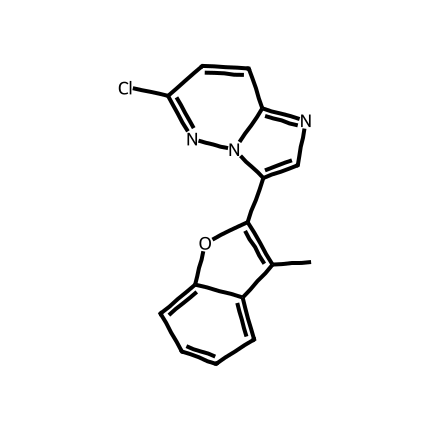 Cc1c(-c2cnc3ccc(Cl)nn23)oc2ccccc12